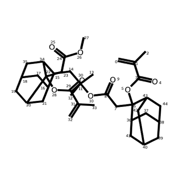 C=C(C)C(=O)OC1(CC(=O)OC(C)(C)CC2C3CC4CC(C3)C(CC(=O)OC)(OC(=O)C(=C)C)C2C4)C2CC3CC(C2)CC1C3